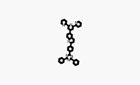 c1ccc(-c2nc(-c3ccccc3)nc(-c3ccc(-c4ccc5cc(-c6cc(-c7ccccn7)nc(-c7ccccn7)c6)ccc5n4)cc3)n2)cc1